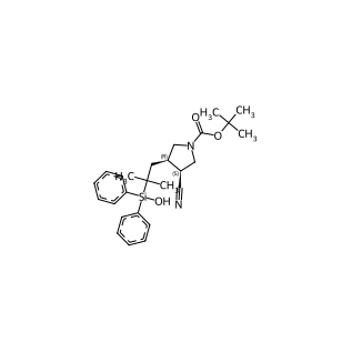 CC(C)(C)OC(=O)N1C[C@H](CC(C)(C)[Si](O)(c2ccccc2)c2ccccc2)[C@H](C#N)C1